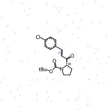 CC(C)(C)OC(=O)N1CCC[C@@H]1C(=O)/C=C/c1ccc(Cl)cc1